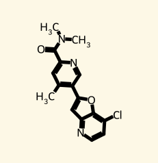 Cc1cc(C(=O)N(C)C)ncc1-c1cc2nccc(Cl)c2o1